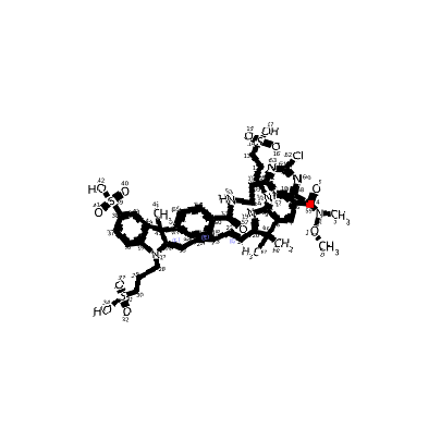 CON(C)C(=O)c1cc2c([n+](CCCS(=O)(=O)O)c1)N=C(/C=C/C=C/C=C1/N(CCCS(=O)(=O)O)c3ccc(S(=O)(=O)O)cc3C1(C)c1ccc(C(=O)NCCc3nc(Cl)nc(Cl)n3)cc1)C2(C)C